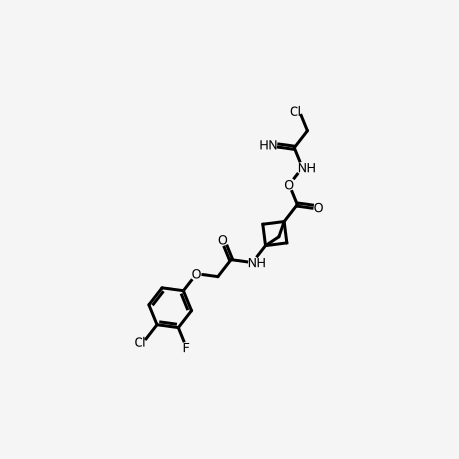 N=C(CCl)NOC(=O)C12CC(NC(=O)COc3ccc(Cl)c(F)c3)(C1)C2